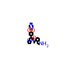 C=C(NC(=O)C(CC1CCCC1)c1ccc(S(=O)(=O)N2CCN(C)CC2)cc1)c1ccccc1/C=C\N